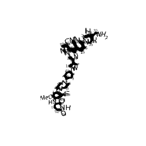 COc1cc(N2CCN(C3CCC(n4cc(-c5cn6ncc(C#N)c6c(-c6ccc(N7C[C@@H]8C(CN)[C@@H]8C7)nc6)n5)cn4)CC3)CC2)c(F)cc1NC1CCC(=O)NC1=O